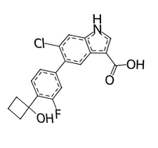 O=C(O)c1c[nH]c2cc(Cl)c(-c3ccc(C4(O)CCC4)c(F)c3)cc12